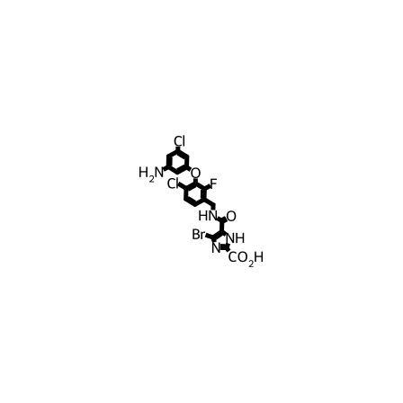 Nc1cc(Cl)cc(Oc2c(Cl)ccc(CNC(=O)c3[nH]c(C(=O)O)nc3Br)c2F)c1